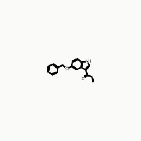 CCC(=O)c1c[nH]c2ccc(OCc3ccccc3)cc12